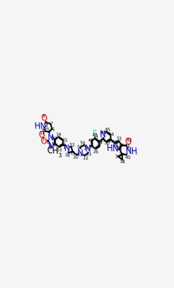 Cn1c(=O)n(C2CCC(=O)NC2=O)c2ccc(N3CC(CN4CCN(c5ccc(-c6cc(-c7cc8c([nH]7)C7(CC7)CNC8=O)ccn6)c(F)c5)CC4)C3)cc21